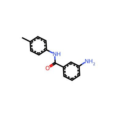 Cc1ccc(NC(=O)c2cccc(N)c2)cc1